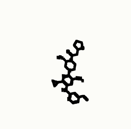 C=Cc1ccnc(Nc2cc(N)c(N3CCN(C(=O)CC4CCCO4)[C@H](CCC)C3)nc2C2CC2)c1